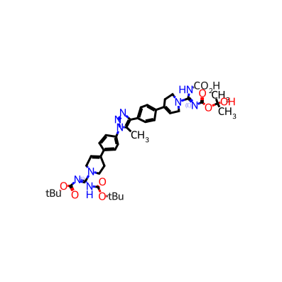 Cc1c(-c2ccc(C3=CCN(/C(=N/C(=O)OC(C)(C)O)NC(=O)O)CC3)cc2)nnn1-c1ccc(C2=CCN(/C(=N/C(=O)OC(C)(C)C)NC(=O)OC(C)(C)C)CC2)cc1